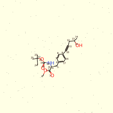 COC(=O)[C@H](Cc1ccc(C#CCC(C)O)cc1)NC(=O)OC(C)(C)C